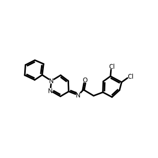 O=C(Cc1ccc(Cl)c(Cl)c1)N=c1ccn(-c2ccccc2)nc1